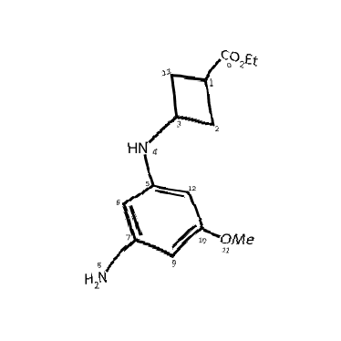 CCOC(=O)C1CC(Nc2cc(N)cc(OC)c2)C1